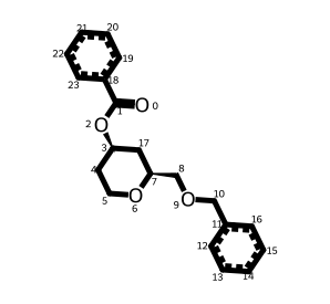 O=C(O[C@@H]1CCO[C@H](COCc2ccccc2)C1)c1ccccc1